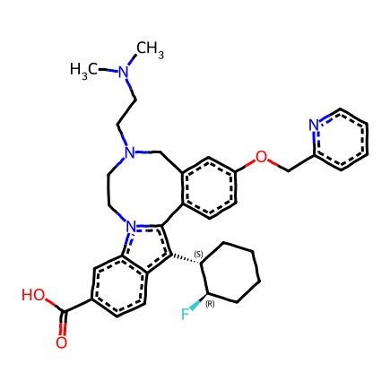 CN(C)CCN1CCn2c(c([C@@H]3CCCC[C@H]3F)c3ccc(C(=O)O)cc32)-c2ccc(OCc3ccccn3)cc2C1